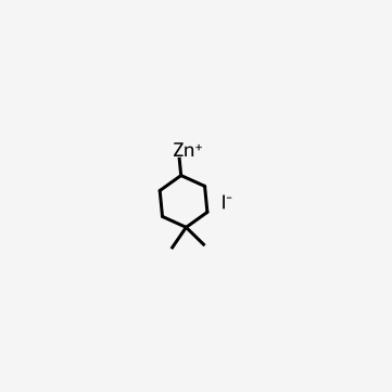 CC1(C)CC[CH]([Zn+])CC1.[I-]